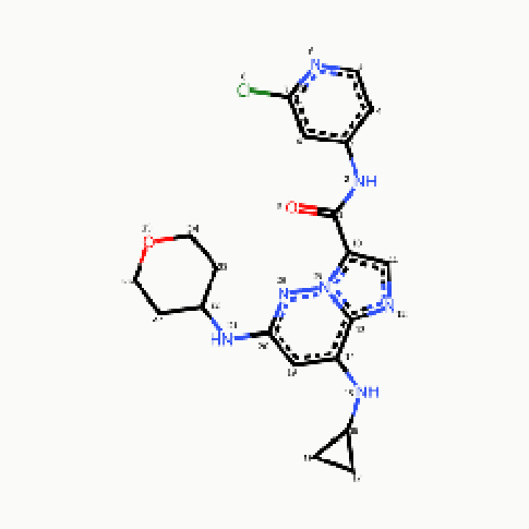 O=C(Nc1ccnc(Cl)c1)c1cnc2c(NC3CC3)cc(NC3CCOCC3)nn12